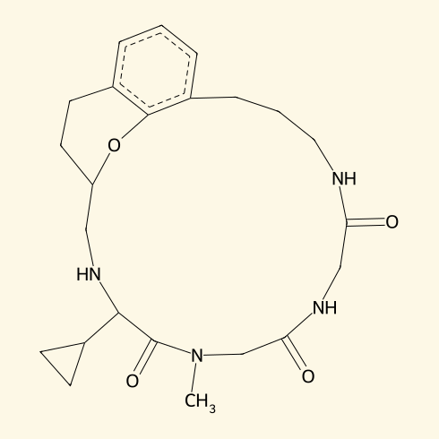 CN1CC(=O)NCC(=O)NCCCc2cccc3c2OC(CC3)CNC(C2CC2)C1=O